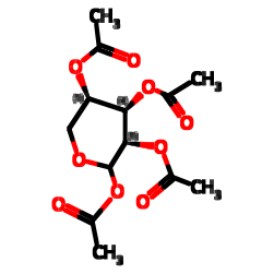 CC(=O)OC1OC[C@@H](OC(C)=O)[C@@H](OC(C)=O)[C@H]1OC(C)=O